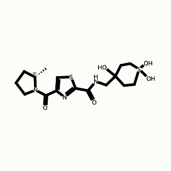 C[C@H]1CCCN1C(=O)c1csc(C(=O)NCC2(O)CCS(O)(O)CC2)n1